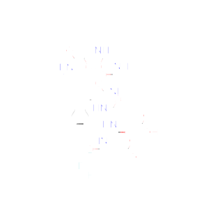 CCCC[C@H](NC(=O)[C@H](CC(C)C)NC(=O)[C@@H](NC(=O)[C@H](Cc1ccccc1C)NC(=O)[C@H](CCC(=O)O)NC(=O)[C@H](CC(=O)O)NC(=O)C[C@H](C)C(F)(F)F)C(C)(C)C)C(=O)C(N)=O